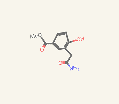 COC(=O)c1ccc(O)c(CC(N)=O)c1